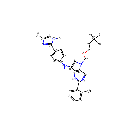 CC(C)c1ccccc1-c1ncc2c(n1)c(Nc1ccc(-c3nc(C(F)(F)F)cn3C)cc1)cn2COCC[Si](C)(C)C